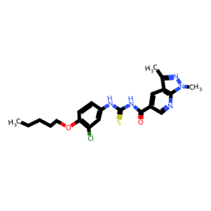 CCCCCOc1ccc(NC(=S)NC(=O)c2cnc3c(c2)c(C)nn3C)cc1Cl